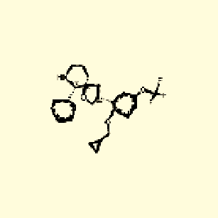 FC(F)(F)Oc1ccc(OCC2CC2)c([C@@H]2CO[C@]3(CCCN[C@H]3c3ccccc3)C2)c1